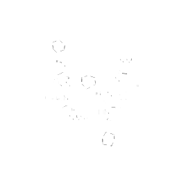 CN[C@@H](C)C(=O)N[C@H](C(=O)N1C[C@@H](c2ccc3c(c2)CN(C(=O)[C@@H](NC(=O)[C@H](C)NC)C(C)(C)C)[C@H](C(=O)N[C@@H]2CCCc4ccccc42)C3)C[C@H]1C(=O)N[C@H](CO)Cc1ccccc1)C(C)(C)C